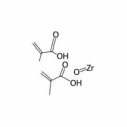 C=C(C)C(=O)O.C=C(C)C(=O)O.[O]=[Zr]